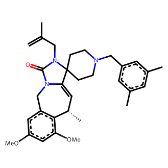 C=C(C)CN1C(=O)N2Cc3cc(OC)cc(OC)c3[C@@H](C)C=C2C12CCN(Cc1cc(C)cc(C)c1)CC2